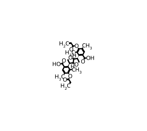 C=CC(=O)Oc1c(C)cc(C(=O)O)c([C@H]2CO[C@H]3[C@@H]2OC[C@H]3c2c(C(=O)O)cc(C)c(OC(=O)C=C)c2C)c1C